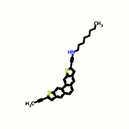 CC#Cc1cc2cc3ccc4cc5cc(C#CNCCCCCCCC)sc5cc4c3cc2s1